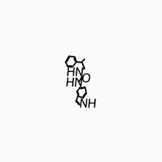 CC(CNC(=O)Nc1ccc2[nH]ccc2c1)c1ccccc1